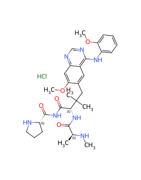 CN[C@@H](C)C(=O)N[C@H](C(=O)NC(=O)[C@@H]1CCCN1)C(C)(C)Cc1cc2c(Nc3ccccc3OC)ncnc2cc1OC.Cl